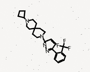 FC(F)(F)c1ccccc1-c1ccc(N2CCC3(CC2)CCN(C2CCC2)CC3)nn1